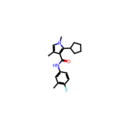 Cc1cc(NC(=O)c2c(C)cn(C)c2C2CCCC2)ccc1F